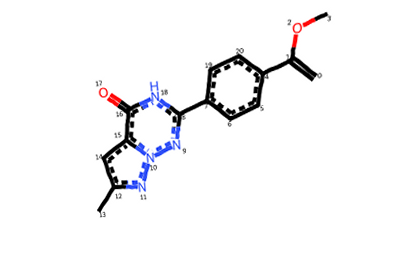 C=C(OC)c1ccc(-c2nn3nc(C)cc3c(=O)[nH]2)cc1